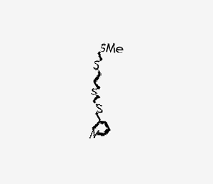 CSCCSCCCSCCSCc1cccnc1